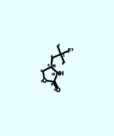 CC(C)(F)C[C@@H]1COC(=O)N1